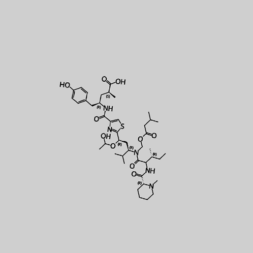 CC[C@@H](C)C(NC(=O)[C@H]1CCCCN1C)C(=O)N(COC(=O)CC(C)C)[C@H](C[C@@H](OC(C)O)c1nc(C(=O)N[C@@H](Cc2ccc(O)cc2)C[C@H](C)C(=O)O)cs1)C(C)C